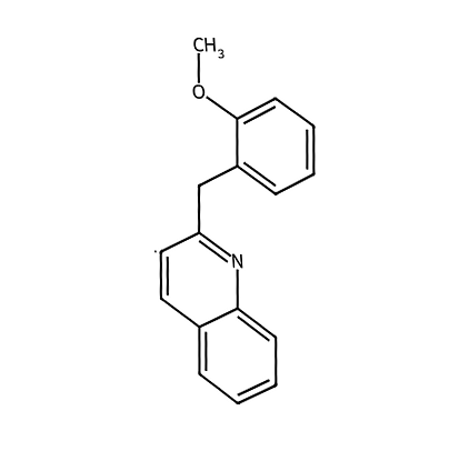 COc1ccccc1Cc1[c]cc2ccccc2n1